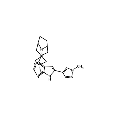 Cn1cc(-c2cc3c(N4CC5CCC(C4)N5[C@H]4C[C@@H](C#N)C4)ncnc3[nH]2)cn1